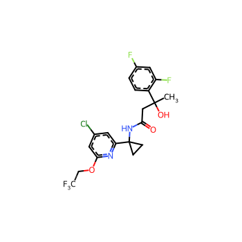 CC(O)(CC(=O)NC1(c2cc(Cl)cc(OCC(F)(F)F)n2)CC1)c1ccc(F)cc1F